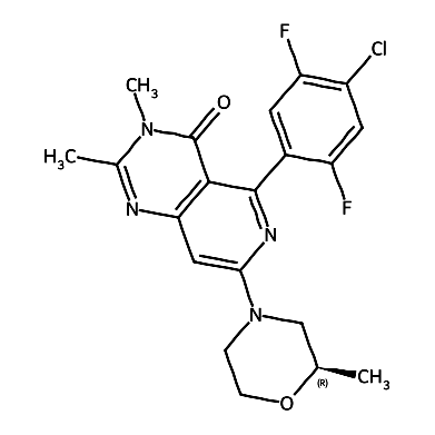 Cc1nc2cc(N3CCO[C@H](C)C3)nc(-c3cc(F)c(Cl)cc3F)c2c(=O)n1C